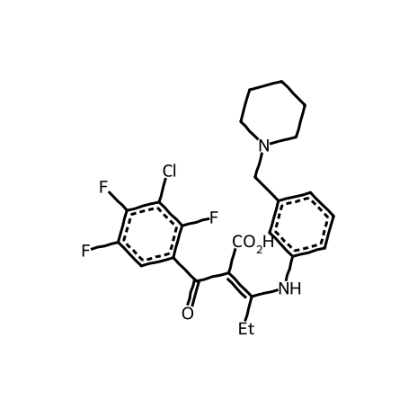 CCC(Nc1cccc(CN2CCCCC2)c1)=C(C(=O)O)C(=O)c1cc(F)c(F)c(Cl)c1F